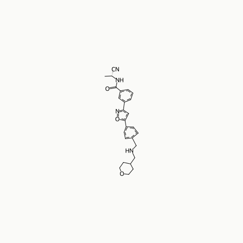 C[C@H](C#N)NC(=O)c1cccc(-c2cc(-c3ccc(CNCC4CCOCC4)cc3)on2)c1